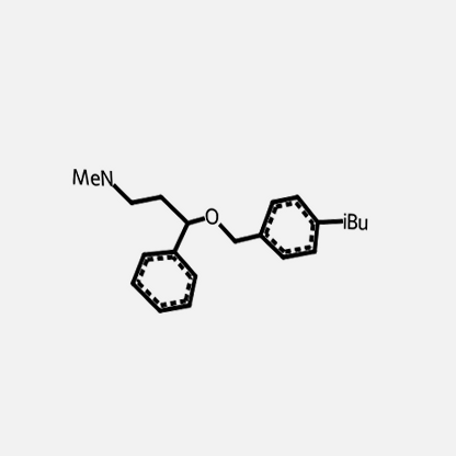 CCC(C)c1ccc(COC(CCNC)c2ccccc2)cc1